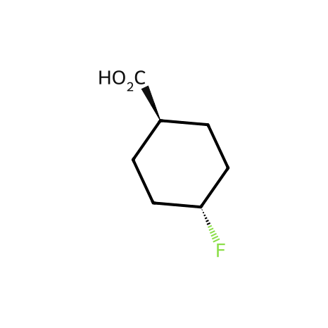 O=C(O)[C@H]1CC[C@H](F)CC1